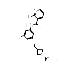 CC(C)(C)OC(=O)N1CC(COc2cc(NC(=O)c3cccnc3F)cc(C(F)(F)F)c2)C1